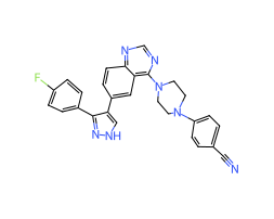 N#Cc1ccc(N2CCN(c3ncnc4ccc(-c5c[nH]nc5-c5ccc(F)cc5)cc34)CC2)cc1